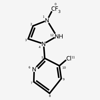 FC(F)(F)N1C=CN(c2ncccc2Cl)N1